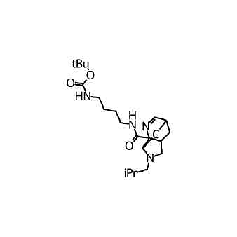 CC(C)CN1CC2CC3C=NC2(C(=O)NCCCCNC(=O)OC(C)(C)C)C1C3